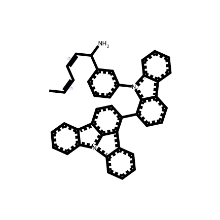 C/C=C\C=C/C(N)c1cccc(-n2c3ccccc3c3cccc(-c4ccc5c6ccccc6n6c7ccccc7c4c56)c32)c1